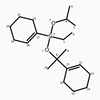 CC[Si](OC(C)C)(OC(C)(C)C1=CCCCC1)C1=CCCCC1